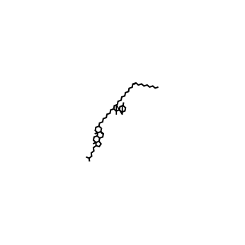 CCCCCCCC/C=C\CCCCCCCCCCC(CCCCCCCC1CCC2(C)C(=CCC3C2CCC2(C)C(CCCCC(C)C)CCC32)C1)CN1CCCC(C)C1